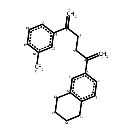 C=C(CCC(=C)c1ccc2c(c1)CCCC2)c1cccc(C(F)(F)F)c1